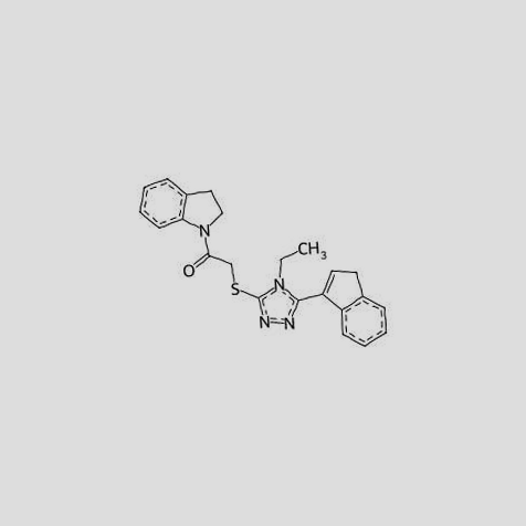 CCn1c(SCC(=O)N2CCc3ccccc32)nnc1C1=CCc2ccccc21